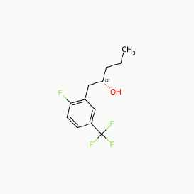 CCC[C@H](O)Cc1cc(C(F)(F)F)ccc1F